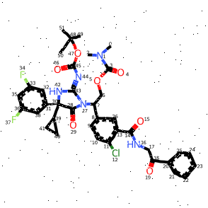 CN(C)C(=O)OCC(c1ccc(Cl)c(C(=O)NCC(=O)c2ccccc2)c1)N1C(=O)[C@](c2cc(F)cc(F)c2)(C2CC2)NC1=NC(=O)OC(C)(C)C